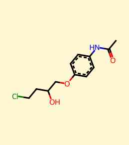 CC(=O)Nc1ccc(OCC(O)CCCl)cc1